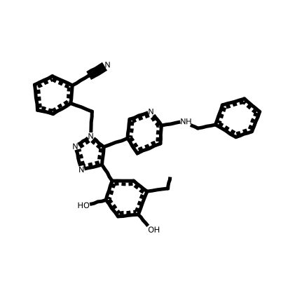 CCc1cc(-c2nnn(Cc3ccccc3C#N)c2-c2ccc(NCc3ccccc3)nc2)c(O)cc1O